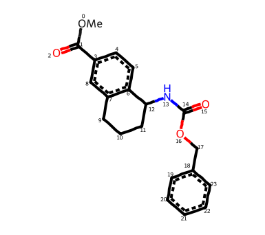 COC(=O)c1ccc2c(c1)CCCC2NC(=O)OCc1ccccc1